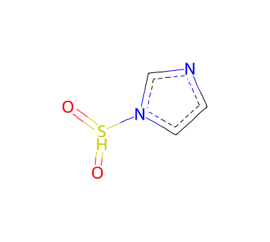 O=[SH](=O)n1ccnc1